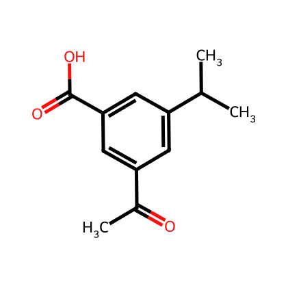 CC(=O)c1cc(C(=O)O)cc(C(C)C)c1